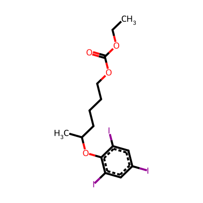 CCOC(=O)OCCCCC(C)Oc1c(I)cc(I)cc1I